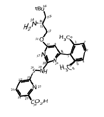 Cc1cccc(C)c1-c1cc(OC[C@H](N)CC(C)(C)C)nc(NSc2cccc(C(=O)O)n2)n1